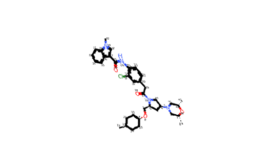 C[C@@H]1CN([C@H]2C[C@@H](CO[C@H]3CC[C@H](C)CC3)N(C(=O)Cc3ccc(NC(=O)c4cn(C)c5ccccc45)c(Cl)c3)C2)C[C@H](C)O1